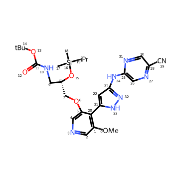 COc1cncc(OC[C@H](CNC(=O)OC(C)(C)C)O[Si](C)(C)C(C)C)c1-c1cc(Nc2cnc(C#N)cn2)n[nH]1